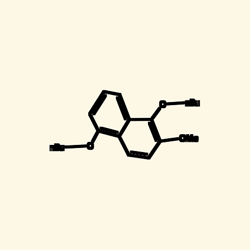 CCCCOc1cccc2c(OCCCC)c(OC)ccc12